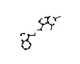 Cc1nc(C)c2c(C(=O)NCc3ncnc4ccccc34)csc2n1